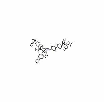 COc1cc(-c2ccc(/C=C/c3nc(-c4ccc(Cl)cc4Cl)cn3Cc3ccc(C(=O)O)cc3C(F)(F)F)cc2)ccc1NC(=O)OC(C)C